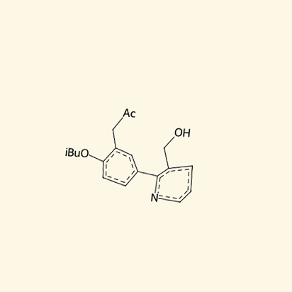 CC(=O)Cc1cc(-c2ncccc2CO)ccc1OCC(C)C